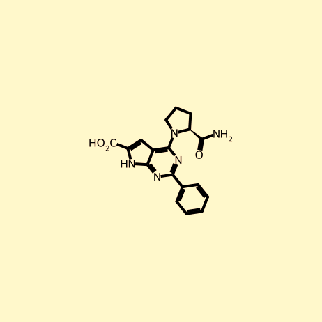 NC(=O)[C@@H]1CCCN1c1nc(-c2ccccc2)nc2[nH]c(C(=O)O)cc12